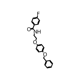 O=C(NCCOc1ccc(OCc2ccccc2)cc1)c1ccc(F)cc1